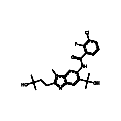 Cn1c(CCC(C)(C)O)nc2cc(C(C)(C)O)c(NC(=O)c3cccc(Cl)c3F)cc21